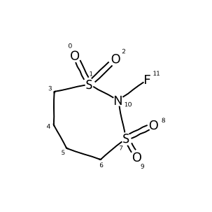 O=S1(=O)CCCCS(=O)(=O)N1F